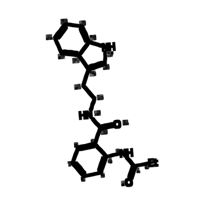 CCC(=O)Nc1ccccc1C(=O)NCCc1c[nH]c2ccccc12